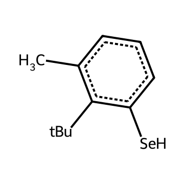 Cc1cccc([SeH])c1C(C)(C)C